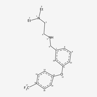 CCN(CC)CCNCc1cccc(Oc2ccc(C(F)(F)F)cc2)c1